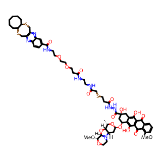 COc1cccc2c1C(=O)c1c(O)c3c(c(O)c1C2=O)C[C@@](O)(C(=O)NNC(=O)CCSCC(=O)NCCNC(=O)CCOCCOCCNC(=O)c1ccc2nc4c(nc2c1)CSC1CCCCCCC1SC4)C[C@@H]3O[C@H]1C[C@H]2[C@H](O[C@@H]3[C@@H](OC)OCCN32)[C@H](C)O1